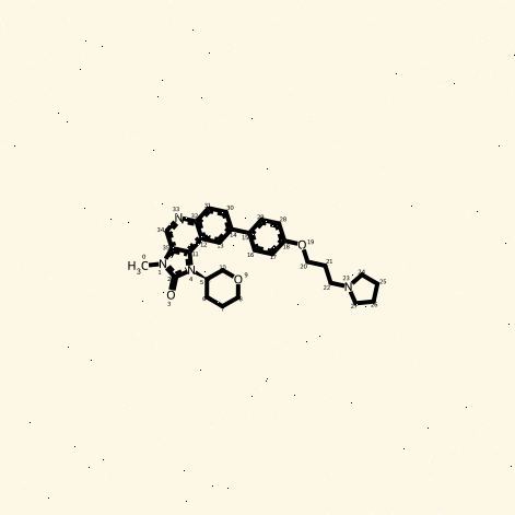 Cn1c(=O)n([C@@H]2CCCOC2)c2c3cc(-c4ccc(OCCCN5CCCC5)cc4)ccc3ncc21